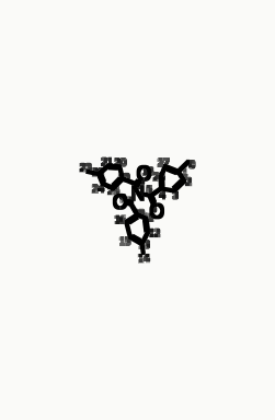 Cc1ccc(C(=O)N(C(=O)c2ccc(C)cc2)C(=O)c2ccc(C)cc2)cc1